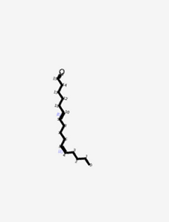 CCCC/C=C\CCC/C=C/CCCCC=O